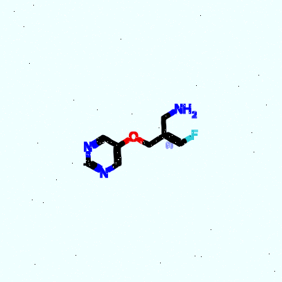 NC/C(=C\F)COc1cn[c]nc1